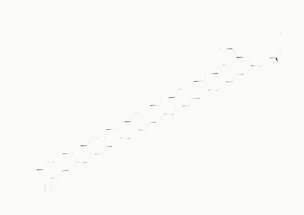 O=C(O)COCC(=O)OCC(OCCOCCOCCOCCOCCOCCOCCOCCOCCO)SC(CO)OCCOCCOCCOCCOCCOCCOCCOCCOCCO